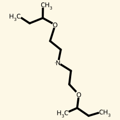 CCC(C)OCC[N]CCOC(C)CC